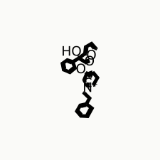 O=C(OC1C[N+]2(CCc3ccccc3)CCC1CC2)[C@@](O)(c1ccccc1)c1ccco1